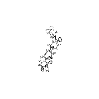 CC1(C)CCN(C(=O)C2CCN(c3ccc(C4CCC(=O)NC4=O)nc3)CC2)CC1